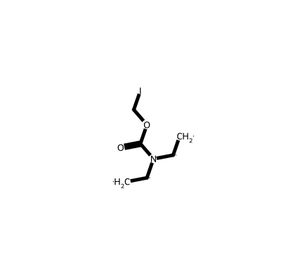 [CH2][CH]N([CH][CH2])C(=O)OCI